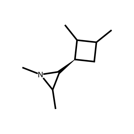 CC1C[C@@H](C2C(C)N2C)C1C